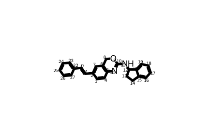 C(=Cc1ccc2c(c1)COC(NC1CCc3ccccc31)=N2)c1ccccc1